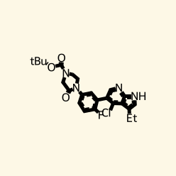 CCc1c[nH]c2ncc(-c3cc(N4CCN(C(=O)OC(C)(C)C)CC4=O)ccc3F)c(Cl)c12